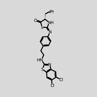 CC(C)C[C@@H]1N/C(=N/c2ccc(CCNc3nc4cc(Cl)c(Cl)cc4s3)cc2)SC1=O